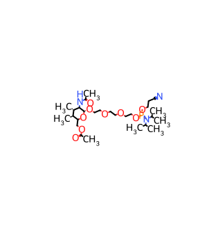 CC(=O)NC1[C@H](OCCOCCOCCOP(OCCC#N)N(C(C)C)C(C)C)OC(COC(C)=O)[C@@H](C)[C@@H]1C